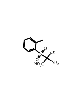 CCC(N)(C(=O)O)S(=O)(=O)c1ccccc1C